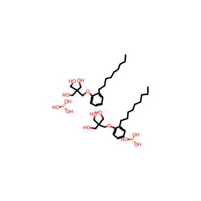 CCCCCCCCCc1ccccc1OCC(CO)(CO)CO.CCCCCCCCCc1ccccc1OCC(CO)(CO)CO.OP(O)O.OP(O)O